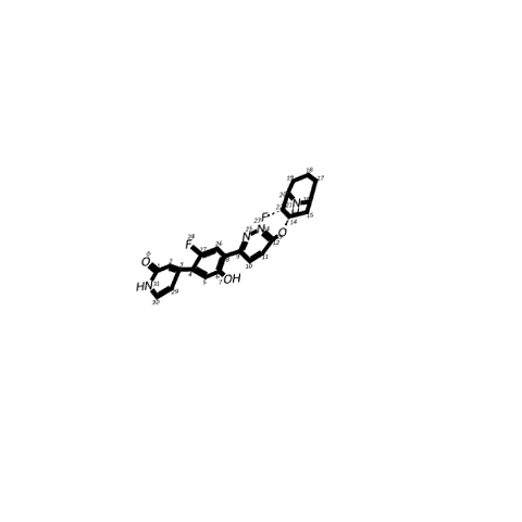 O=c1cc(-c2cc(O)c(-c3ccc(O[C@H]4CC5CCCC(N5)[C@H]4F)nn3)cc2F)cc[nH]1